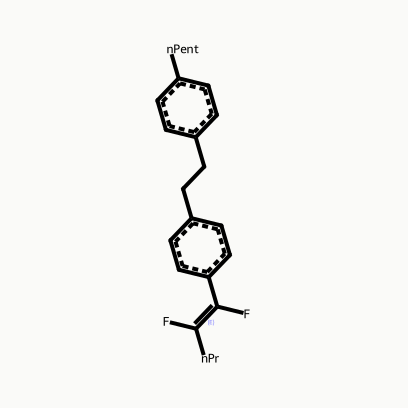 CCCCCc1ccc(CCc2ccc(/C(F)=C(\F)CCC)cc2)cc1